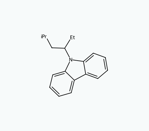 CCC(CC(C)C)n1c2ccccc2c2ccccc21